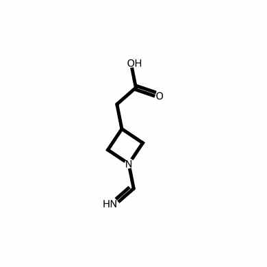 N=CN1CC(CC(=O)O)C1